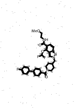 COCCNC(=O)c1ccc2nn(CC3CCN(C(=O)c4ccc(-c5ccc(F)cc5)cc4)CC3)cc2c1OC(F)F